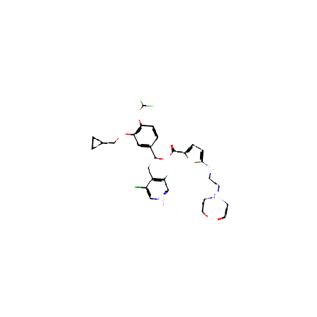 O=C(O[C@@H](Cc1c(Cl)c[n+](O)cc1Cl)c1ccc(OC(F)F)c(OCC2CC2)c1)c1ccc(NCCN2CCOCC2)s1